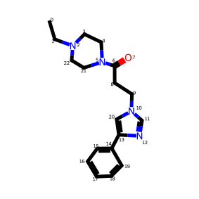 CCN1CCN(C(=O)CCn2cnc(-c3ccccc3)c2)CC1